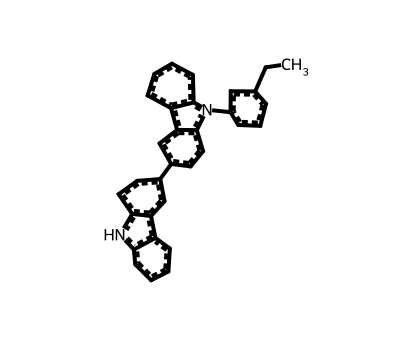 CCc1cccc(-n2c3ccccc3c3cc(-c4ccc5[nH]c6ccccc6c5c4)ccc32)c1